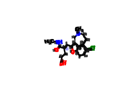 CNC(=O)/C(=C/c1oc2ccc(Cl)c3c2c1CN(C)CC3)CCO